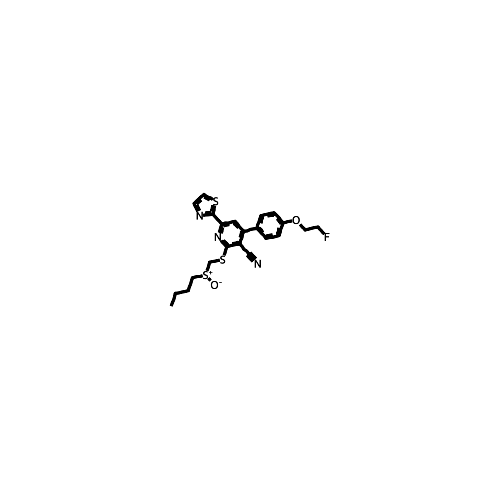 CCCC[S+]([O-])CSc1nc(-c2nccs2)cc(-c2ccc(OCCF)cc2)c1C#N